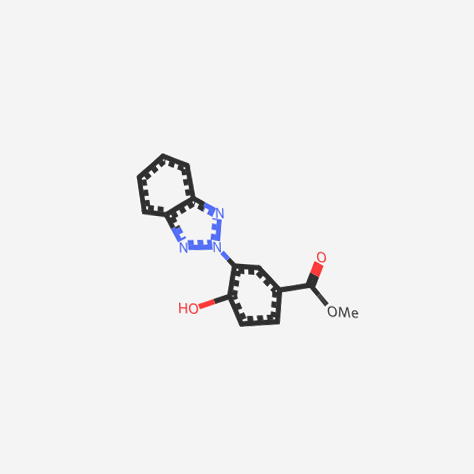 COC(=O)c1ccc(O)c(-n2nc3ccccc3n2)c1